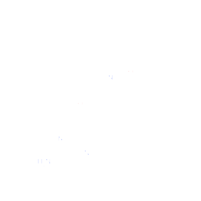 Nc1cnc(-c2ccc(-c3ccccc3S(=O)(=O)N3c4ccccc4CC3CO)cc2F)cn1